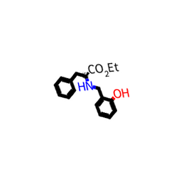 CCOC(=O)[C@H](Cc1ccccc1)NCc1ccccc1O